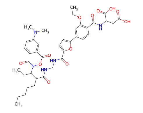 CCCCCC(C(=O)NCNC(=O)c1ccc(-c2ccc(C(=O)NC(CC(=O)O)C(=O)O)c(OCC)c2)o1)C(CC)N(C=O)OC(=O)c1cccc(N(C)C)c1